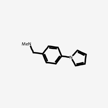 CNCc1ccc(-n2cccc2)cc1